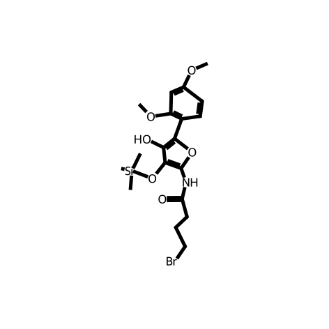 COc1ccc(-c2oc(NC(=O)CCCBr)c(O[Si](C)(C)C)c2O)c(OC)c1